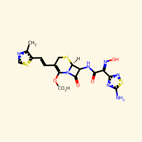 Cc1ncsc1C=CC1=C(OC(=O)O)N2C(=O)C(NC(=O)C(=NO)c3nsc(N)n3)[C@@H]2SC1